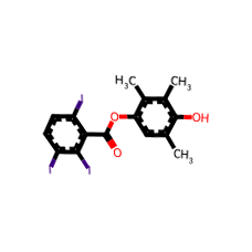 Cc1cc(OC(=O)c2c(I)ccc(I)c2I)c(C)c(C)c1O